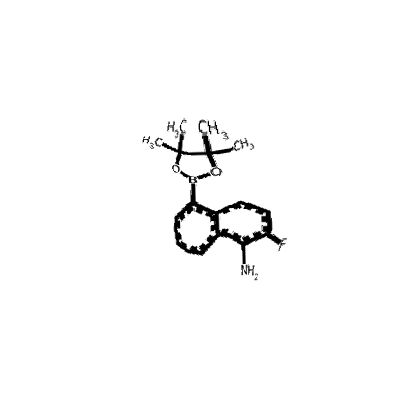 CC1(C)OB(c2cccc3c(N)c(F)ccc23)OC1(C)C